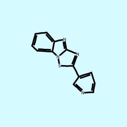 c1cncc(-c2nc3nc4ccccc4n3s2)c1